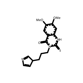 COc1cc2[nH]c(=S)n(CCCC3C=CN=C3)c(=O)c2cc1OC